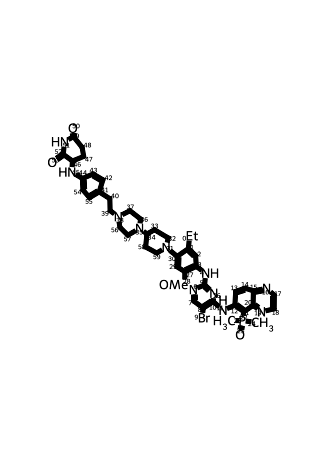 CCc1cc(Nc2ncc(Br)c(Nc3ccc4nccnc4c3P(C)(C)=O)n2)c(OC)cc1N1CCC(N2CCN(CCc3ccc(NC4CCC(=O)NC4=O)cc3)CC2)CC1